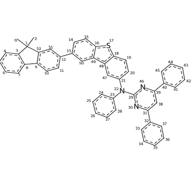 CC1(C)c2ccccc2-c2ccc(-c3ccc4sc5ccc(N(c6ccccc6)c6nc(-c7ccccc7)cc(-c7ccccc7)n6)cc5c4c3)cc21